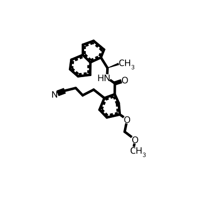 COCOc1ccc(CCCC#N)c(C(=O)N[C@H](C)c2cccc3ccccc23)c1